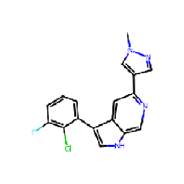 Cn1cc(-c2cc3c(-c4cccc(F)c4Cl)c[nH]c3cn2)cn1